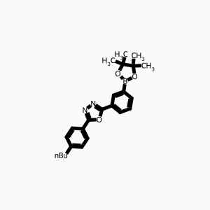 CCCCc1ccc(-c2nnc(-c3cccc(B4OC(C)(C)C(C)(C)O4)c3)o2)cc1